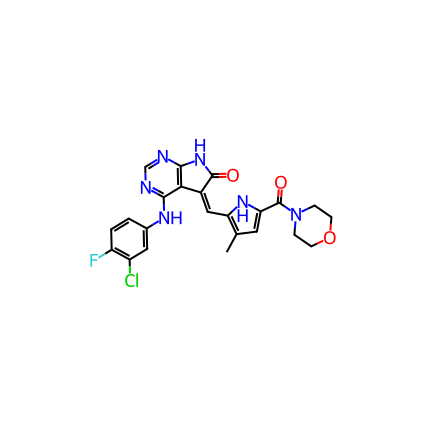 Cc1cc(C(=O)N2CCOCC2)[nH]c1C=C1C(=O)Nc2ncnc(Nc3ccc(F)c(Cl)c3)c21